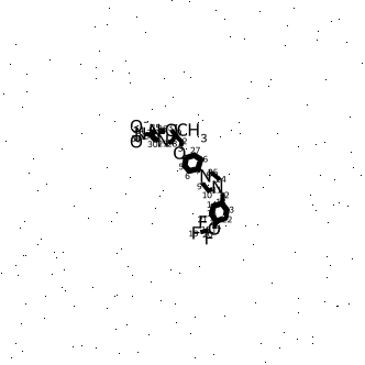 CC1(COc2ccc(N3CCN(Cc4ccc(OC(F)(F)F)cc4)CC3)cc2)Cn2cc([N+](=O)[O-])nc2O1